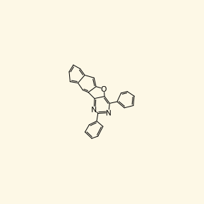 c1ccc(-c2nc(-c3ccccc3)c3oc4cc5ccccc5cc4c3n2)cc1